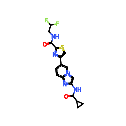 O=C(NCC(F)F)c1nc(-c2ccc3nc(NC(=O)C4CC4)cn3c2)cs1